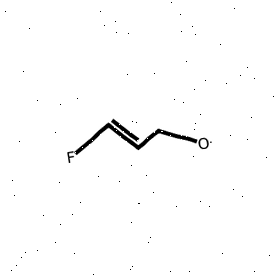 [O]CC=CF